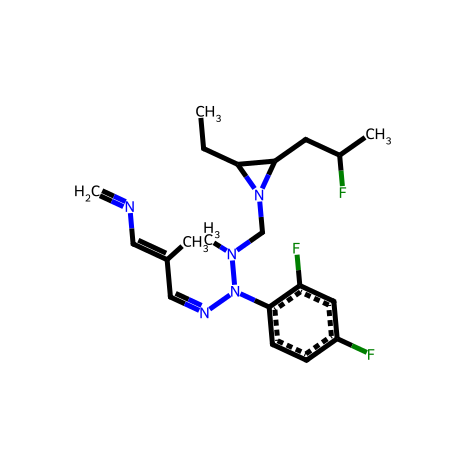 C=N/C=C(C)/C=N\N(c1ccc(F)cc1F)N(C)CN1C(CC)C1CC(C)F